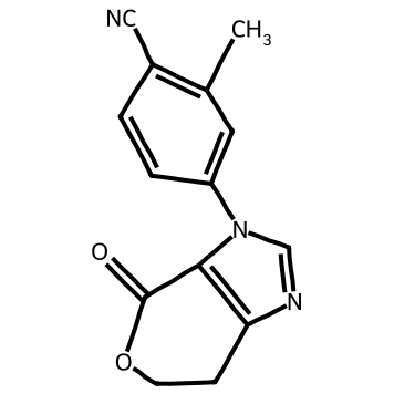 Cc1cc(-n2cnc3c2C(=O)OCC3)ccc1C#N